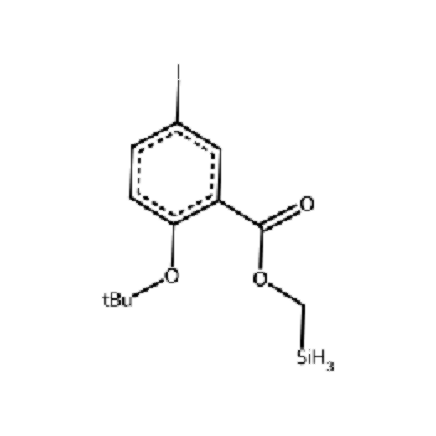 CC(C)(C)Oc1ccc(I)cc1C(=O)OC[SiH3]